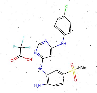 CNS(=O)(=O)c1ccc(N)c(Nc2cc(Nc3ccc(Cl)cc3)ncn2)c1.O=C(O)C(F)(F)F